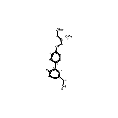 COC[C@@H](COc1ccc(-c2nccc(CO)n2)cc1)OC